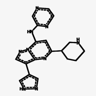 c1cnc(Nc2cc(C3CCCNC3)nc3c(-c4cn[nH]c4)cnn23)cn1